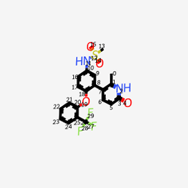 Cc1[nH]c(=O)ccc1-c1cc(NS(C)(=O)=O)ccc1Oc1ccccc1C(F)(F)F